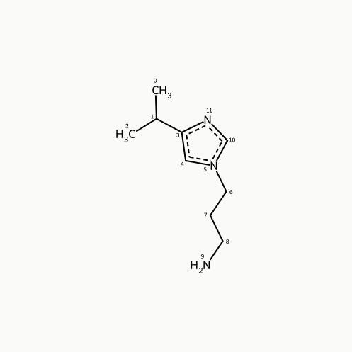 CC(C)c1cn(CCCN)cn1